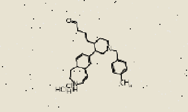 Cc1ccc(CN2CCC(CCCC=O)C(C3=CC4C=CNCCC4C=C3)C2)cc1.Cl.Cl